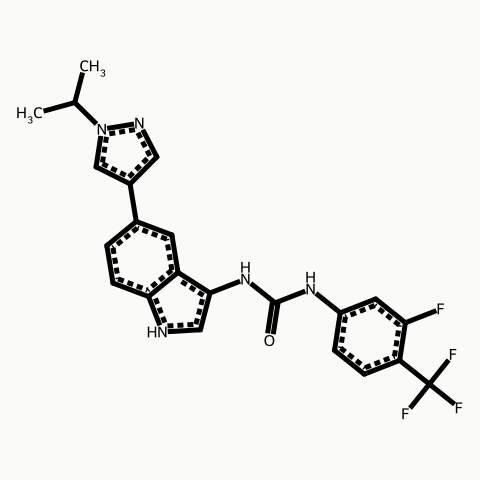 CC(C)n1cc(-c2ccc3[nH]cc(NC(=O)Nc4ccc(C(F)(F)F)c(F)c4)c3c2)cn1